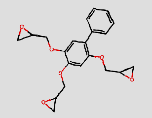 c1ccc(-c2cc(OCC3CO3)c(OCC3CO3)cc2OCC2CO2)cc1